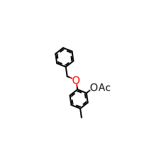 CC(=O)Oc1cc(C)ccc1OCc1ccccc1